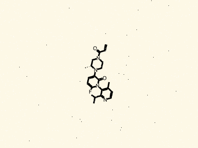 C=CC(=O)N1CCN(c2ccc(F)n(-c3c(C)ccnc3C(C)C)c2=O)[C@H](C)C1